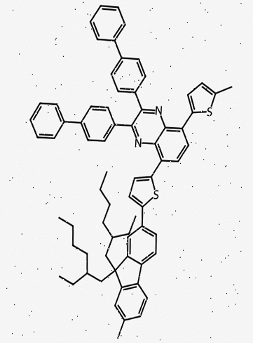 CCCCC(CC)CC1(CC(CC)CCCC)c2cc(C)ccc2-c2ccc(-c3ccc(-c4ccc(-c5ccc(C)s5)c5nc(-c6ccc(-c7ccccc7)cc6)c(-c6ccc(-c7ccccc7)cc6)nc45)s3)cc21